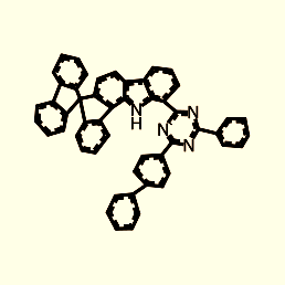 c1ccc(-c2ccc(-c3nc(-c4ccccc4)nc(-c4cccc5c4[nH]c4c6c(ccc45)C4(c5ccccc5-c5ccccc54)c4ccccc4-6)n3)cc2)cc1